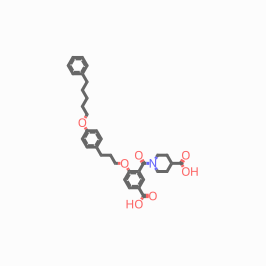 O=C(O)c1ccc(OCCCc2ccc(OCCCCCc3ccccc3)cc2)c(C(=O)N2CCC(C(=O)O)CC2)c1